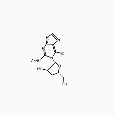 CC(=O)Nc1nc2ncnc-2c(Cl)n1[C@@H]1O[C@H](CO)C[C@H]1O